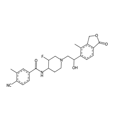 Cc1cc(C(=O)NC2CCN(CC(O)c3ccc4c(c3C)COC4=O)CC2F)ccc1C#N